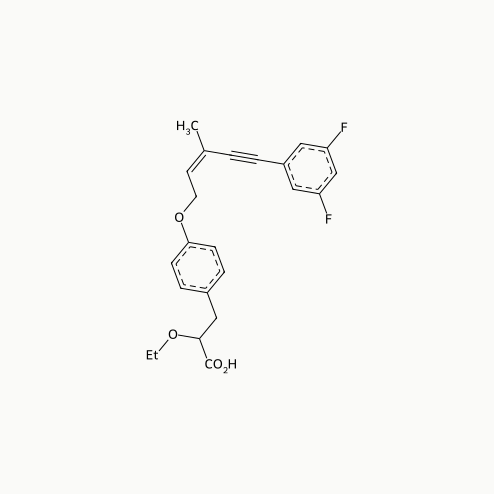 CCOC(Cc1ccc(OCC=C(C)C#Cc2cc(F)cc(F)c2)cc1)C(=O)O